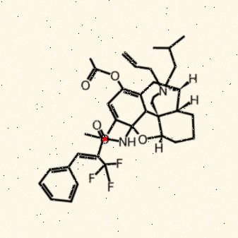 C=CC[N+]1(CC(C)C)CC[C@]23C4C5=C(OC(C)=O)C=C(OC)C4(NC(=O)C(=Cc4ccccc4)C(F)(F)F)O[C@H]2CCC[C@H]3[C@H]1C5